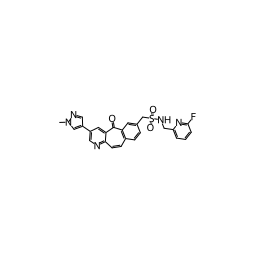 Cn1cc(-c2cnc3ccc4ccc(CS(=O)(=O)NCc5cccc(F)n5)cc4c(=O)c3c2)cn1